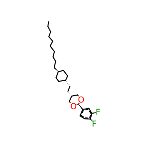 CCCCCCCCCC[C@H]1CC[C@H](CC[C@H]2CO[C@H](c3ccc(F)c(F)c3)OC2)CC1